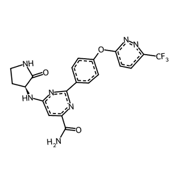 NC(=O)c1cc(N[C@H]2CCNC2=O)nc(-c2ccc(Oc3ccc(C(F)(F)F)nn3)cc2)n1